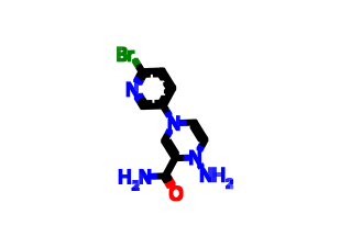 NC(=O)C1=CN(c2ccc(Br)nc2)C=CN1N